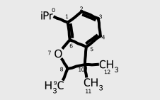 CC(C)c1cccc2c1OC(C)C2(C)C